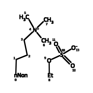 CCCCCCCCCCCC[N+](C)(C)C.CCOS(=O)(=O)[O-]